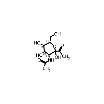 CC(=O)N[C@@H]1[C@@H](O)[C@@H](O)[C@@H](CO)OC1(O)C(C)=O